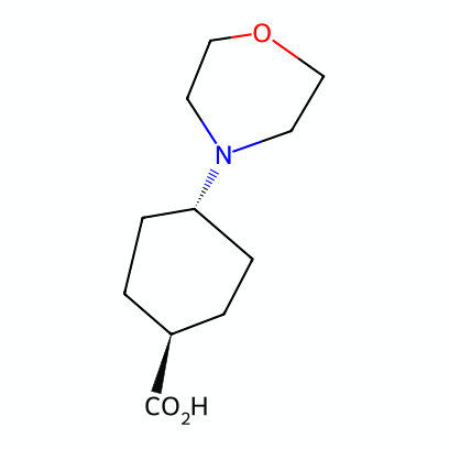 O=C(O)[C@H]1CC[C@H](N2CCOCC2)CC1